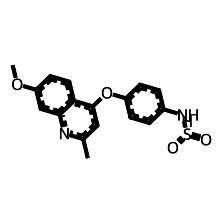 COc1ccc2c(Oc3ccc(N[SH](=O)=O)cc3)cc(C)nc2c1